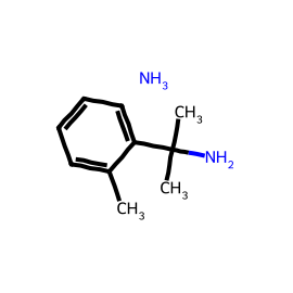 Cc1ccccc1C(C)(C)N.N